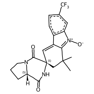 CC1(C)C[C@@]2(C=C3C1=[N+]([O-])c1cc(C(F)(F)F)ccc13)NC(=O)[C@@H]1CCCN1C2=O